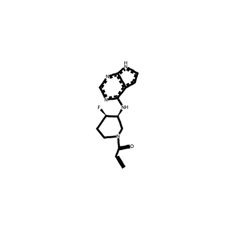 C=CC(=O)N1CC[C@@H](F)[C@@H](Nc2ncnc3[nH]ccc23)C1